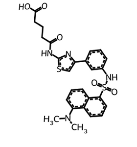 CN(C)c1cccc2c(S(=O)(=O)Nc3cccc(-c4csc(NC(=O)CCCC(=O)O)n4)c3)cccc12